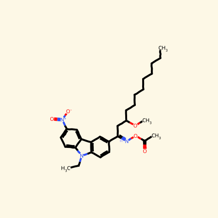 CCCCCCCCCC(C/C(=N\OC(C)=O)c1ccc2c(c1)c1cc([N+](=O)[O-])ccc1n2CC)OC